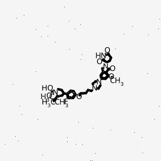 COc1cc(N2CCN(CCCCOc3ccc(C4CCN(C(=O)O)C(C(C)(C)C)C4)c(F)c3)CC2)cc2c1C(=O)N(C1CCC(=O)NC1=O)C2